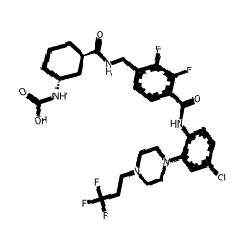 O=C(O)N[C@@H]1CCC[C@@H](C(=O)NCc2ccc(C(=O)Nc3ccc(Cl)cc3N3CCN(CCC(F)(F)F)CC3)c(F)c2F)C1